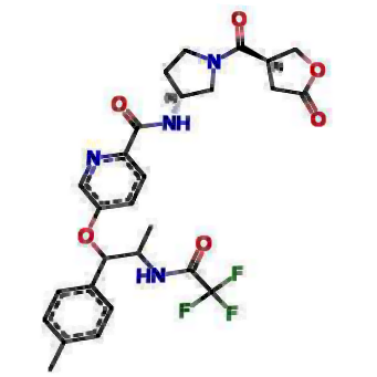 Cc1ccc(C(Oc2ccc(C(=O)N[C@@H]3CCN(C(=O)[C@H]4COC(=O)C4)C3)nc2)C(C)NC(=O)C(F)(F)F)cc1